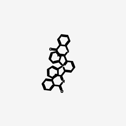 O=c1nc(C2=CC=CC(c3nc(=O)c4ccccc4s3)=P2(c2ccccc2)c2ccccc2)sc2ccccc12